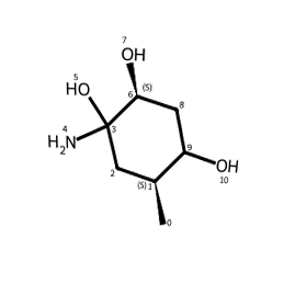 C[C@H]1CC(N)(O)[C@@H](O)CC1O